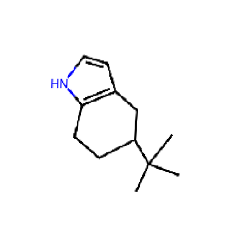 CC(C)(C)C1CCc2[nH]ccc2C1